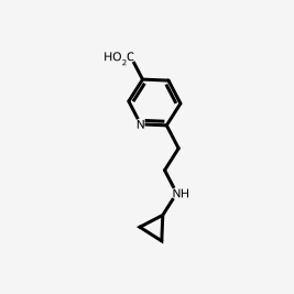 O=C(O)c1ccc(CCNC2CC2)nc1